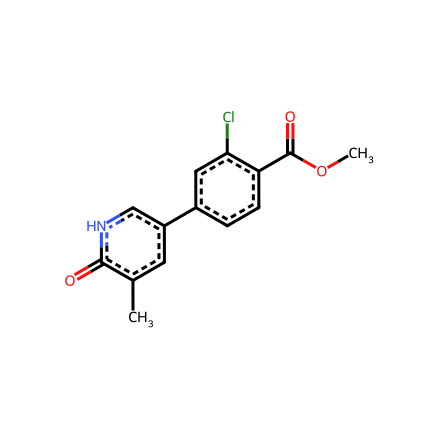 COC(=O)c1ccc(-c2c[nH]c(=O)c(C)c2)cc1Cl